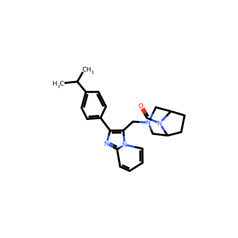 CC(C)c1ccc(-c2nc3ccccn3c2CN2CC3CCC(C2)N3C=O)cc1